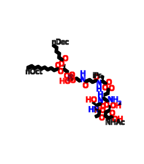 CCCCCCCC/C=C\CCCCCCCC(=O)O[C@H](COC(=O)CCCCCCCCCCCCCCC)COP(=O)(O)OCCNC(=O)CCC(=O)N[C@@H](CC(C)C)C(=O)OC(=O)CC[C@@H](NC(=O)[C@H](CO)NCC(C)O[C@H]1[C@H](O)[C@@H](CO)O[C@H](O)[C@@H]1NC(C)=O)C(N)=O